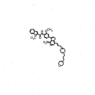 COc1cc(-c2csc3c(/C=C/CN4CCN(CCCN5CCOCC5)CC4)cnc(N)c23)ccc1NC(=O)c1cc2ccccc2n1C